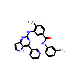 Cc1ccc(C(=O)Nc2cccc(C(F)(F)F)c2)cc1Nc1nc(-c2cccnc2)c2[nH]ccc2n1